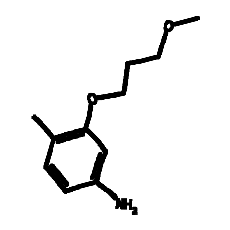 COCCCOc1cc(N)ccc1C